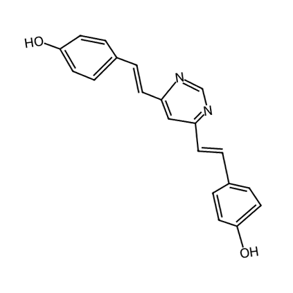 Oc1ccc(/C=C/c2cc(/C=C/c3ccc(O)cc3)ncn2)cc1